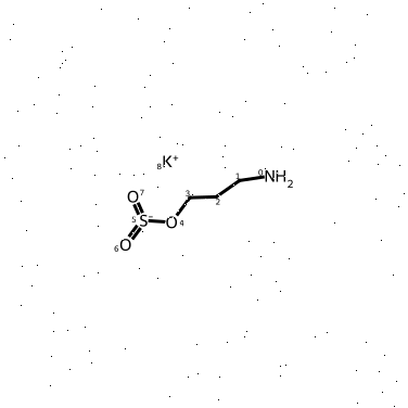 NCCCO[S-](=O)=O.[K+]